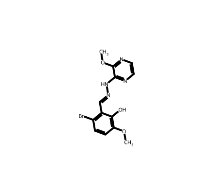 COc1ccc(Br)c(/C=N/Nc2nccnc2OC)c1O